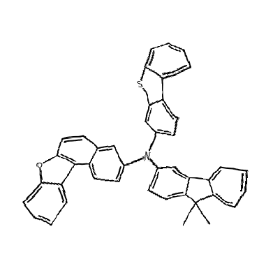 CC1(C)c2ccccc2-c2cc(N(c3ccc4c(ccc5oc6ccccc6c54)c3)c3ccc4c(c3)sc3ccccc34)ccc21